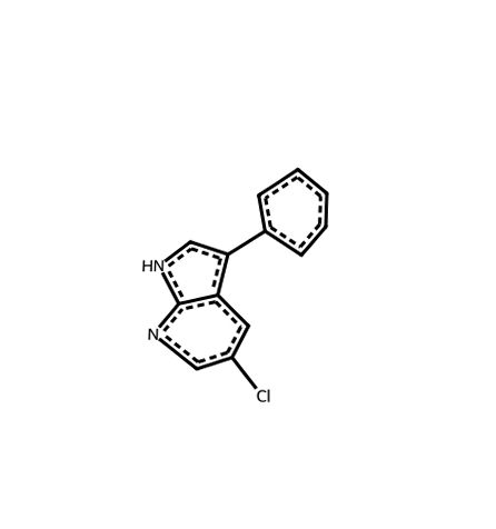 Clc1cnc2[nH]cc(-c3ccccc3)c2c1